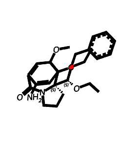 CCO[C@@H](SCC)[C@@]12CCCN1C(=O)C1=CC(OC)C2(OCc2ccccc2)C=C1N